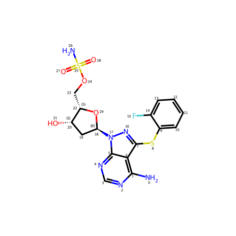 Nc1ncnc2c1c(Sc1ccccc1F)nn2[C@H]1C[C@H](O)[C@H](COS(N)(=O)=O)O1